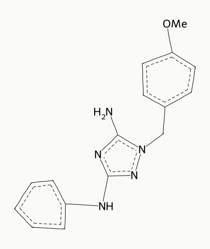 COc1ccc(Cn2nc(Nc3ccccc3)nc2N)cc1